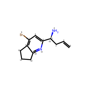 C=CC[C@H](N)c1cc(Br)c2c(n1)CCC2